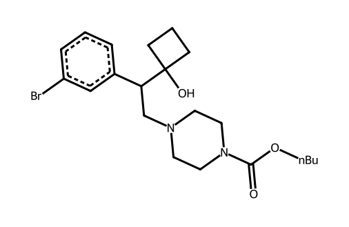 CCCCOC(=O)N1CCN(CC(c2cccc(Br)c2)C2(O)CCC2)CC1